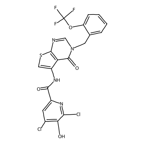 O=C(Nc1csc2ncn(Cc3ccccc3OC(F)(F)F)c(=O)c12)c1cc(Cl)c(O)c(Cl)n1